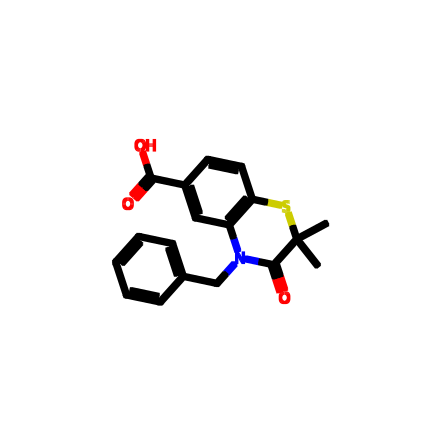 CC1(C)Sc2ccc(C(=O)O)cc2N(Cc2ccccc2)C1=O